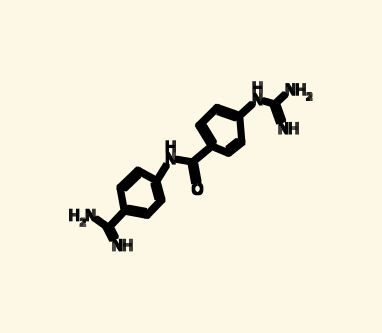 N=C(N)Nc1ccc(C(=O)Nc2ccc(C(=N)N)cc2)cc1